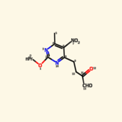 CCCOc1nc(C)c([N+](=O)[O-])c(CCC(=O)C=O)n1